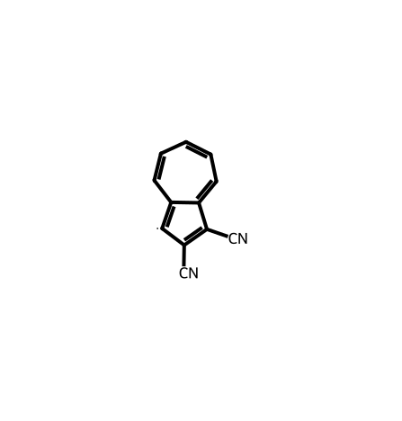 N#Cc1[c]c2cccccc-2c1C#N